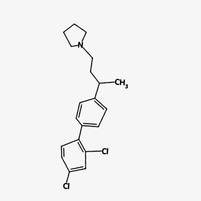 CC(CCN1CCCC1)c1ccc(-c2ccc(Cl)cc2Cl)cc1